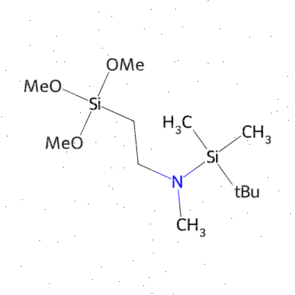 CO[Si](CCN(C)[Si](C)(C)C(C)(C)C)(OC)OC